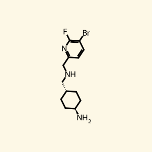 N[C@H]1CC[C@H](CNCc2ccc(Br)c(F)n2)CC1